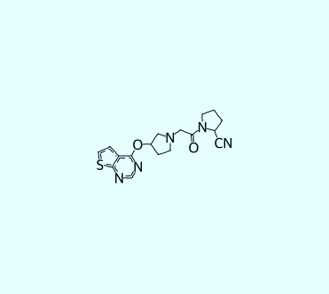 N#CC1CCCN1C(=O)CN1CCC(Oc2ncnc3sccc23)C1